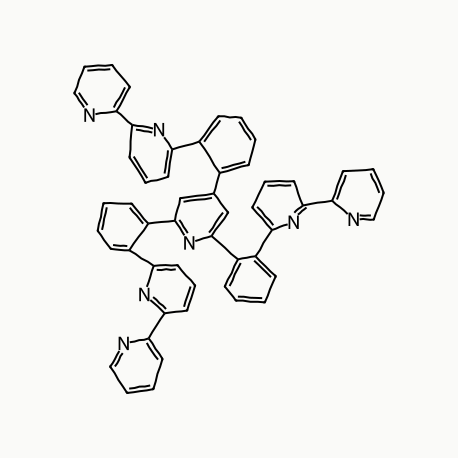 c1ccc(-c2cccc(-c3ccccc3-c3cc(-c4ccccc4-c4cccc(-c5ccccn5)n4)nc(-c4ccccc4-c4cccc(-c5ccccn5)n4)c3)n2)nc1